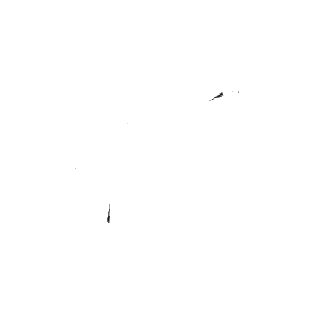 CC(=O)[C@H](C)OC(=O)C[C@H](O)C(=O)O